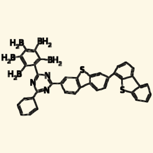 Bc1c(B)c(B)c(-c2nc(-c3ccccc3)nc(-c3ccc4c(c3)sc3cc(-c5cccc6c5sc5ccccc56)ccc34)n2)c(B)c1B